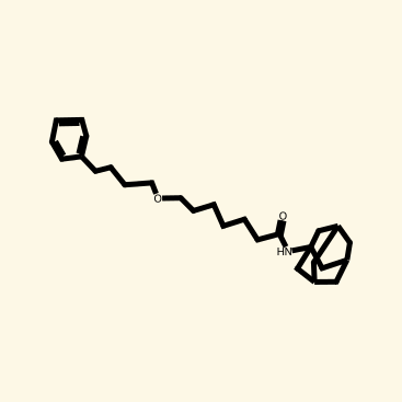 O=C(CCCCCCOCCCCc1ccccc1)NC12CC3CC(CC(C3)C1)C2